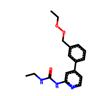 CCNC(=O)Nc1cc(-c2cccc(COOCC)c2)ccn1